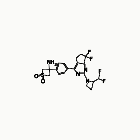 NC1(c2ccc(-c3nc(N4CCC4C(F)F)nc4c3CCC4(F)F)cc2)CS(=O)(=O)C1